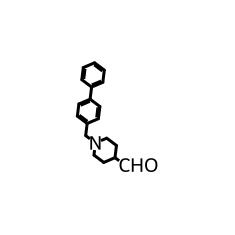 O=CC1CCN(Cc2ccc(-c3ccccc3)cc2)CC1